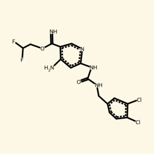 N=C(OCC(F)F)c1cnc(NC(=O)NCc2ccc(Cl)c(Cl)c2)cc1N